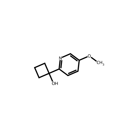 COc1ccc(C2(O)CCC2)nc1